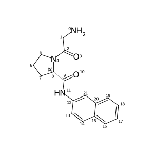 NCC(=O)N1CCC[C@H]1C(=O)Nc1ccc2ccccc2c1